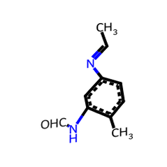 CC=Nc1ccc(C)c(NC=O)c1